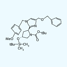 COc1ccc(Cn2cc(COCc3ccccc3)nc2[C@@H]2C[C@@H](O[Si](C)(C)C(C)(C)C)CN2C(=O)OC(C)(C)C)cc1